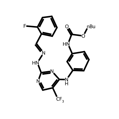 CCCCOC(=O)Nc1cccc(Nc2nc(NN=Cc3ccccc3F)ncc2C(F)(F)F)c1